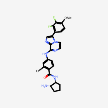 CCc1cc(Nc2nccn3c(-c4ccc(OC)c(F)c4F)cnc23)ccc1C(=O)N[C@H]1CCC[C@@H]1N